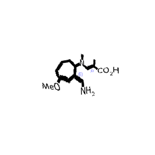 COC1=C/C(=C\N)C(N(C)/C=C(\C)C(=O)O)CC=C1